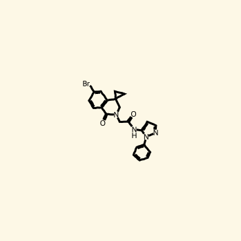 O=C(CN1CC2(CC2)c2cc(Br)ccc2C1=O)Nc1ccnn1-c1ccccc1